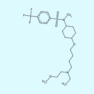 CCN(CCCCOC1CCC(N(C)S(=O)(=O)c2ccc(C(F)(F)F)cc2)CC1)CCOC